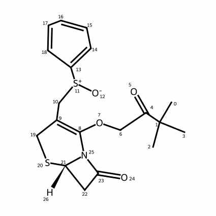 CC(C)(C)C(=O)COC1=C(C[S+]([O-])c2ccccc2)CS[C@H]2CC(=O)N12